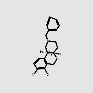 Clc1ccc2c(c1Cl)CO[C@H]1CCN(Cc3ccccc3)C[C@H]21